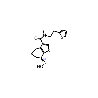 CN(CCc1cccs1)C(=O)c1csc2c1CCC/C2=N\O